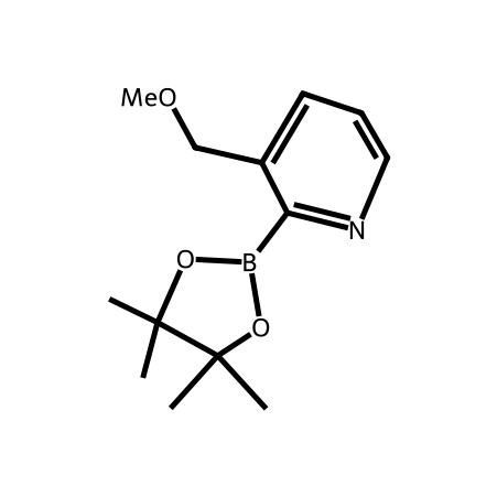 COCc1cccnc1B1OC(C)(C)C(C)(C)O1